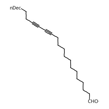 CCCCCCCCCCCCC#CC#CCCCCCCCCCCC[C]=O